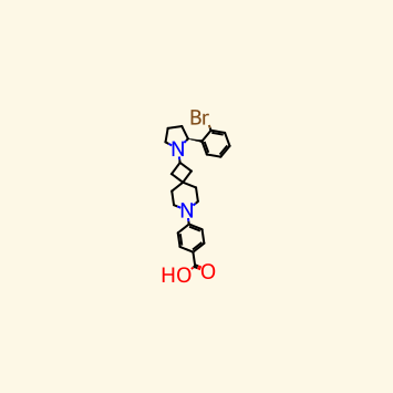 O=C(O)c1ccc(N2CCC3(CC2)CC(N2CCC[C@H]2c2ccccc2Br)C3)cc1